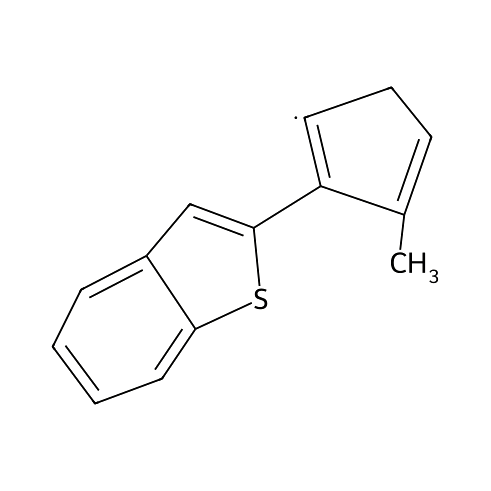 CC1=CC[C]=C1c1cc2ccccc2s1